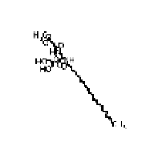 CCC=CCC=CCC=CCC=CCC=CCC=CCCC(=O)NC(CNC(=O)C=CC(=O)OC)C(=O)OC(CO)CO